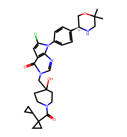 CC1(C)CN[C@@H](c2ccc(-n3c(Cl)cc4c(=O)n(CC5(O)CCN(C(=O)C6(C7CC7)CC6)CC5)cnc43)cc2)CO1